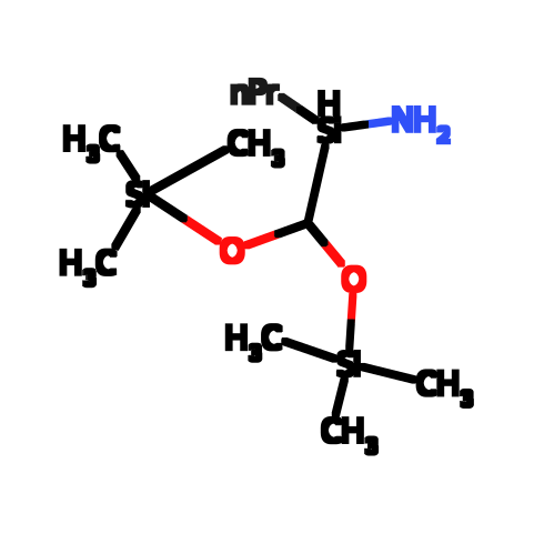 CCC[SiH](N)C(O[Si](C)(C)C)O[Si](C)(C)C